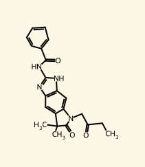 CCC(=O)CN1C(=O)C(C)(C)c2cc3nc(NC(=O)c4ccccc4)[nH]c3cc21